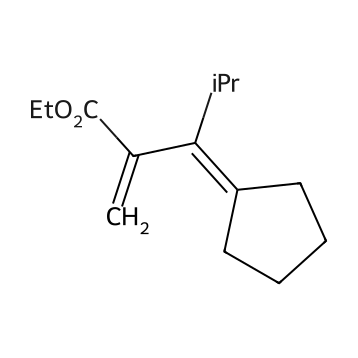 C=C(C(=O)OCC)C(=C1CCCC1)C(C)C